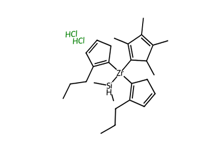 CCCC1=[C]([Zr]([C]2=C(CCC)C=CC2)([C]2=C(C)C(C)=C(C)C2C)[SiH](C)C)CC=C1.Cl.Cl